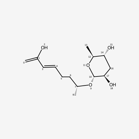 C=C(O)/C=C/CC[C@@H](C)O[C@@H]1O[C@@H](C)[C@H](O)C[C@H]1O